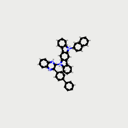 c1ccc(-c2ccc(-c3nc4ccccc4nc3-n3c4ccccc4c4cc5c(cc43)c3ccccc3n5-c3ccc4ccccc4c3)cc2)cc1